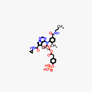 CCCNC(=O)c1ccc(C)c(N(C(=O)OCOC(=O)Cc2ccc(OP(=O)(O)O)cc2)c2ncnn3cc(C(=O)NC4CC4)c(C)c23)c1